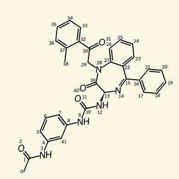 CC(=O)Nc1cccc(NC(=O)N[C@@H]2N=C(c3ccccc3)c3ccccc3N(CC(=O)c3ccccc3C)C2=O)c1